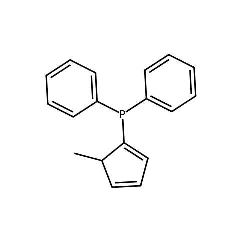 CC1C=CC=C1P(c1ccccc1)c1ccccc1